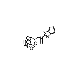 OC1C2OCCCOC(C(CNc3nc4ccccc4s3)O2)C1O